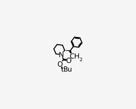 C=C(c1ccccc1)[C@@H]1CCCCN1C(=O)OC(C)(C)C